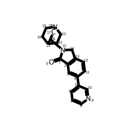 O=C1c2cc(-c3cccnc3)ccc2CN1C1CN2CCC1CC2